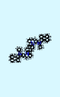 CC1(C)c2ccccc2N(c2ccc3ccc4c(N5c6ccccc6C(C)(C)c6cc7c8c9cccc%10c%11cccc%12cccc(c(cc8n(-c8ccccc8)c7cc65)c%109)c%12%11)ccc5ccc2c3c54)c2cc3c(cc21)c1c2cccc4c5cccc6cccc(c(cc1n3-c1ccccc1)c42)c65